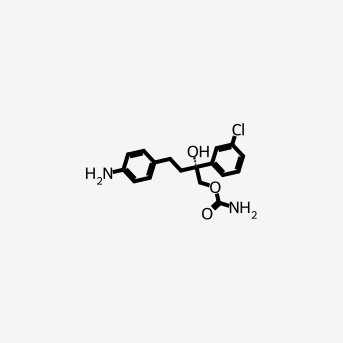 NC(=O)OC[C@@](O)(CCc1ccc(N)cc1)c1cccc(Cl)c1